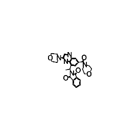 CC(c1cc(C(=O)N2CCOCC2)cc2ncc(N3CCOCC3)nc12)N1C(=O)c2ccccc2C1=O